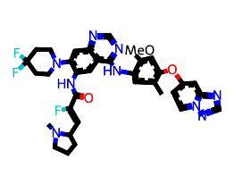 COc1cc(Oc2ccn3ncnc3c2)c(C)cc1Nc1ncnc2cc(N3CCC(F)(F)CC3)c(NC(=O)C(F)=CC3CCCN3C)cc12